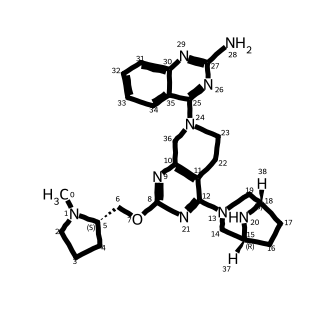 CN1CCC[C@H]1COc1nc2c(c(N3C[C@H]4CC[C@@H](C3)N4)n1)CCN(c1nc(N)nc3ccccc13)C2